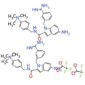 C[N+](C)(C)c1ccc(CNC(=O)c2cc3cc(N)ccc3n2Cc2cccc(C(=N)N)c2)cc1.C[N+](C)(C)c1ccc(CNC(=O)c2cc3cc(N)ccc3n2Cc2cccc(C(=N)N)c2)cc1.O=C([O-])C(F)(F)F.O=C([O-])C(F)(F)F